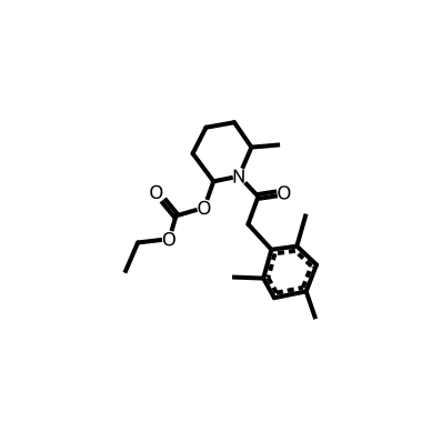 CCOC(=O)OC1CCCC(C)N1C(=O)Cc1c(C)cc(C)cc1C